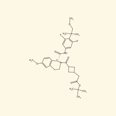 COCC(C)(C)c1c(F)cc(NC(=O)[C@H]2c3ccc(OC)cc3CCN2C(=O)C2CC(CC(=O)OC(C)(C)C)C2)cc1F